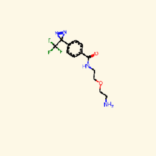 NCCOCCNC(=O)c1ccc(C2(C(F)(F)F)N=N2)cc1